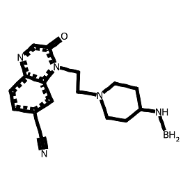 BNC1CCN(CCn2c(=O)cnc3ccc(C#N)cc32)CC1